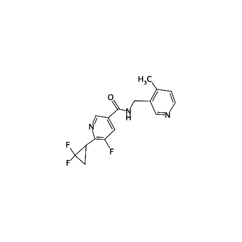 Cc1ccncc1CNC(=O)c1cnc(C2CC2(F)F)c(F)c1